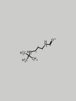 CC(C)(C)NCCCN[C]=O